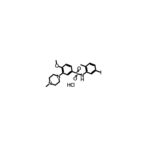 COc1ccc(S(=O)(=O)Nc2cc(I)ccc2C)cc1N1CCN(C)CC1.Cl